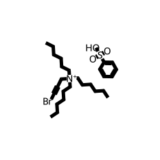 CCCCCC[N+](CC#CBr)(CCCCCC)CCCCCC.O=S(=O)(O)c1ccccc1